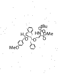 COC(=O)/C(=C/CO[C@H](Cc1ccccc1)[C@@H](Cc1ccccc1)[C@H](C)OCc1ccc(OC)cc1)NC(=O)OC(C)(C)C